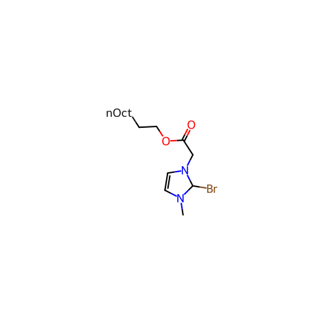 CCCCCCCCCCOC(=O)CN1C=CN(C)C1Br